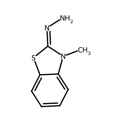 Cn1c(=NN)sc2ccccc21